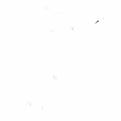 C[C@H]1CC=C(c2ccc3sc(CC4(N(C)C)COC4)nc3c2)N(C(=O)OC(C)(C)C)C1